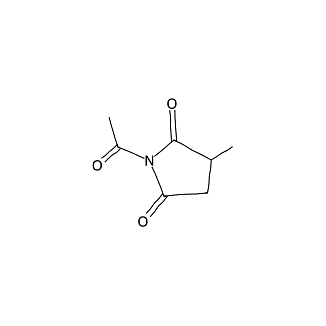 CC(=O)N1C(=O)CC(C)C1=O